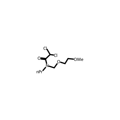 CCCN(COCCOC)C(=O)C(Cl)Cl